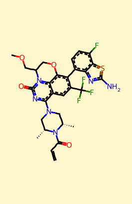 C=CC(=O)N1[C@H](C)CN(c2nc(=O)n3c4c(c(-c5ccc(F)c6sc(N)nc56)c(C(F)(F)F)cc24)OCC3COC)C[C@@H]1C